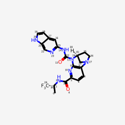 C[C@@H](NC(=O)c1ccc2c(n1)N(C(=O)Nc1cc3cc[nH]c3cn1)[C@H]1CCN2C1)C(F)(F)F